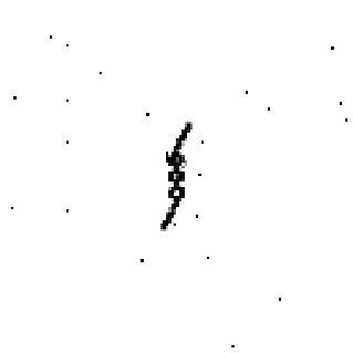 CCCCCCC[C@H]1CO[C@H](c2ccc([C@H]3CC[C@H](CCCCCCC)CC3)cc2)CO1